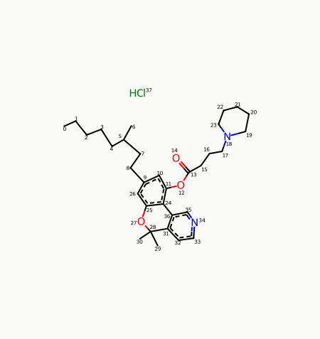 CCCCCC(C)CCc1cc(OC(=O)CCCN2CCCCC2)c2c(c1)OC(C)(C)c1ccncc1-2.Cl